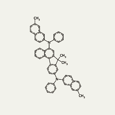 Cc1ccc2ccc(N(c3ccccc3)c3ccc4c(c3)C(C)(C)c3cc(N(c5ccccc5)c5ccc6ccc(C)cc6c5)c5ccccc5c3-4)cc2c1